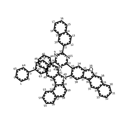 c1ccc(-c2ccc(-c3nc(-c4ccc5ccccc5c4)nc(-c4cc5oc6cc7ccccc7cc6c5cc4-n4c5cc6ccccc6cc5c5c6ccccc6ccc54)n3)cc2)cc1